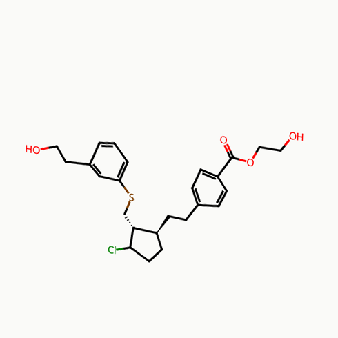 O=C(OCCO)c1ccc(CC[C@H]2CCC(Cl)[C@@H]2CSc2cccc(CCO)c2)cc1